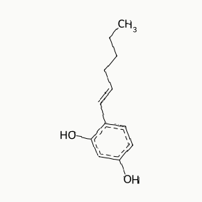 CCCCC=Cc1ccc(O)cc1O